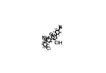 Cl.N#Cc1ccc(N2CCN([C@H]3CC[C@@](CN)(c4cccc(Cl)c4)CC3)C2=O)cc1